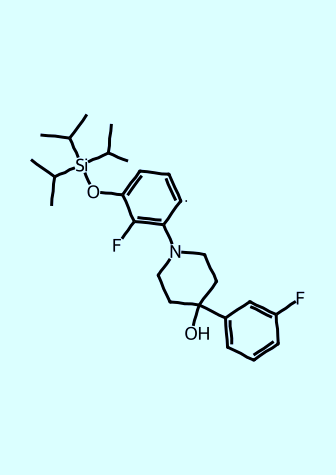 CC(C)[Si](Oc1cc[c]c(N2CCC(O)(c3cccc(F)c3)CC2)c1F)(C(C)C)C(C)C